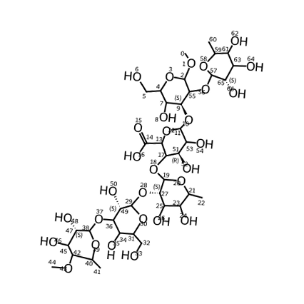 COC1OC(CO)C(O)[C@H](OC2OC(C(=O)O)C(OC3OC(C)C(O)C(O)[C@@H]3OC3OC(CO)C(O)C(OC4OC(C)C(OC)C(O)[C@@H]4O)[C@@H]3O)[C@H](O)C2O)C1OC1OC(C)C(O)C(O)[C@@H]1O